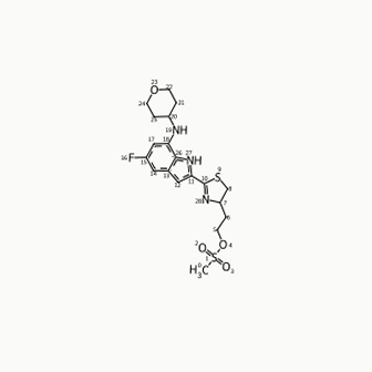 CS(=O)(=O)OCCC1CSC(c2cc3cc(F)cc(NC4CCOCC4)c3[nH]2)=N1